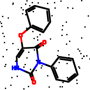 O=c1[nH]cc(Oc2ccccc2)c(=O)n1-c1ccccc1